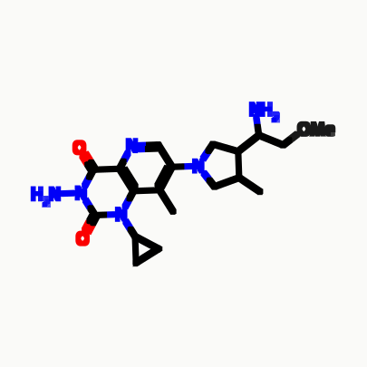 COCC(N)C1CN(c2cnc3c(=O)n(N)c(=O)n(C4CC4)c3c2C)CC1C